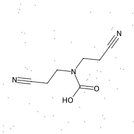 N#CCCN(CCC#N)C(=O)O